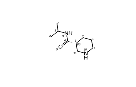 CC(C)NC(=O)[C@@H]1CCCNC1